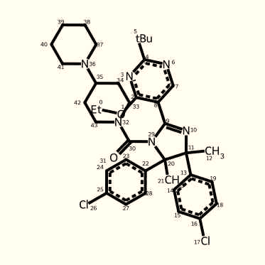 CCOc1nc(C(C)(C)C)ncc1C1=NC(C)(c2ccc(Cl)cc2)C(C)(c2ccc(Cl)cc2)N1C(=O)N1CCC(N2CCCCC2)CC1